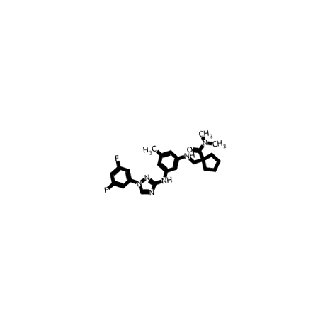 Cc1cc(NCC2(C(=O)N(C)C)CCCC2)cc(Nc2ncn(-c3cc(F)cc(F)c3)n2)c1